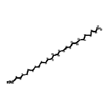 CCCCCCCCCCCCCCCCCCCCCCCCCCCCCCCCCCCC[SiH3]